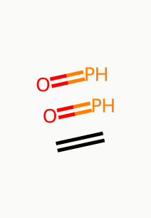 C=C.O=P.O=P